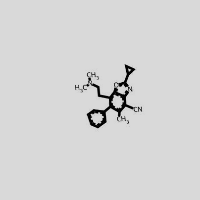 Cc1c(-c2ccccc2)c(CCN(C)C)c2oc(C3CC3)nc2c1C#N